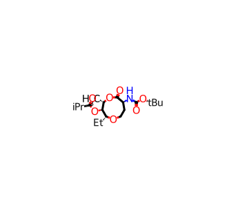 CC[C@H]1OCC[C@H](NC(=O)OC(C)(C)C)C(=O)O[C@@H](C)[C@@H]1OC(=O)C(C)C